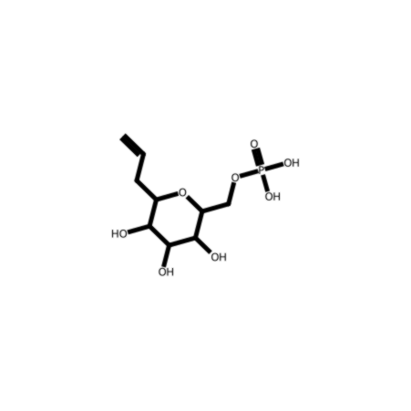 C=CCC1OC(COP(=O)(O)O)C(O)C(O)C1O